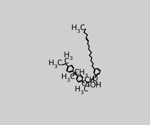 CCCC/C=C/CCCCCCCCCc1cccc(OCC(O)C(C)(CC)Oc2ccc(C(C)(C)c3ccc(C(C)CC)cc3)cc2)c1